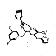 O=C(O)C(Cc1ccco1)Cc1ncc(-c2ccccc2)nc1Cc1cc(F)cc(F)c1